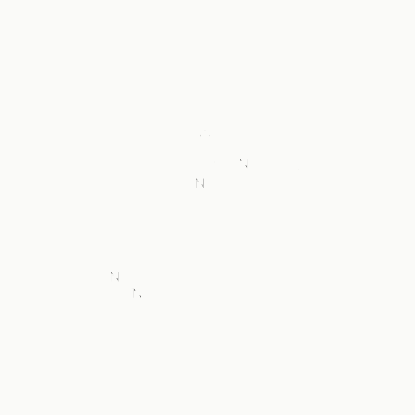 Cn1cc(C2CCN(C(=O)N3CCCc4ccccc43)CC2)cn1